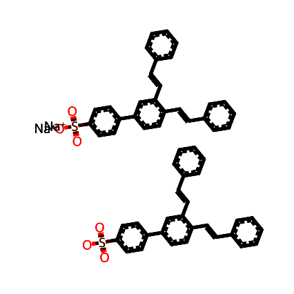 O=S(=O)([O-])c1ccc(-c2ccc(C=Cc3ccccc3)c(C=Cc3ccccc3)c2)cc1.O=S(=O)([O-])c1ccc(-c2ccc(C=Cc3ccccc3)c(C=Cc3ccccc3)c2)cc1.[Na+].[Na+]